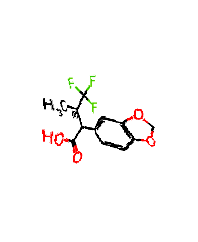 C[C@H](C(C(=O)O)c1ccc2c(c1)OCO2)C(F)(F)F